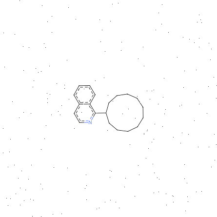 c1ccc2c(C3CCCCCCCCCC3)nccc2c1